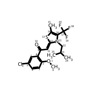 COc1ccc(Cl)cc1C(=O)C=C1SC(C)=C(C(F)(F)F)N1CC(C)C